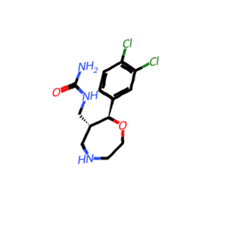 NC(=O)NC[C@H]1CNCCO[C@@H]1c1ccc(Cl)c(Cl)c1